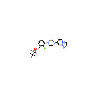 CC(C)(C)[Si](C)(C)OCc1cccc(N2CCN(c3ccn4ccnc4c3)CC2)c1F